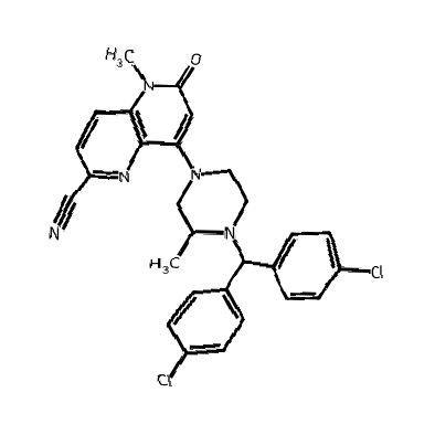 CC1CN(c2cc(=O)n(C)c3ccc(C#N)nc23)CCN1C(c1ccc(Cl)cc1)c1ccc(Cl)cc1